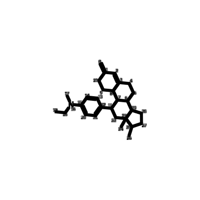 C=C1C=C2CCC3C(C2CC1)C(c1ccc(N(C)CC)cc1)CC1(C)C(C)CCC31